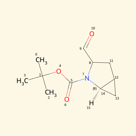 CC(C)(C)OC(=O)N1C(C=O)CC2C[C@H]21